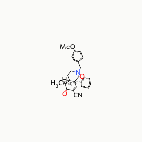 COc1ccc(CN2CC[C@H]3[C@H](C)C(=O)C(C#N)=C[C@]3(c3ccccc3)C2=O)cc1